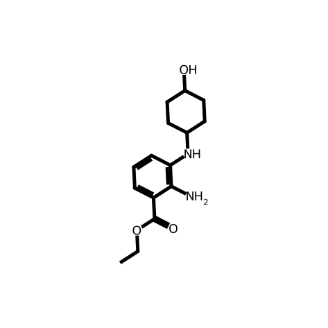 CCOC(=O)c1cccc(NC2CCC(O)CC2)c1N